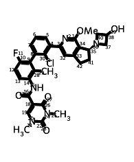 COc1nc(-c2cccc(-c3c(F)ccc(NC(=O)c4cn(C)c(=O)n(C)c4=O)c3C)c2Cl)cc2c1[C@@H](N1CC(O)C1)CC2